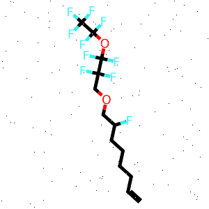 C=CCCCCC(F)COCC(F)(F)C(F)(F)OC(F)(F)C(F)(F)F